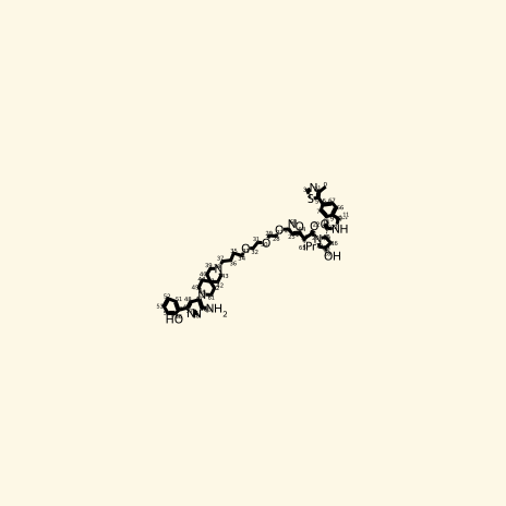 Cc1ncsc1-c1ccc([C@H](C)NC(=O)[C@@H]2C[C@@H](O)CN2C(=O)C(c2cc(OCCOCCOCCCCN3CCC4(CC3)CCN(c3cc(-c5ccccc5O)nnc3N)CC4)no2)C(C)C)cc1